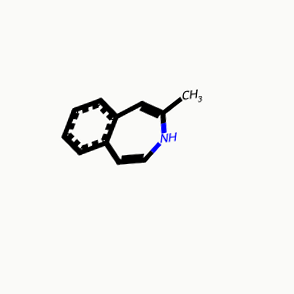 CC1=Cc2ccccc2C=CN1